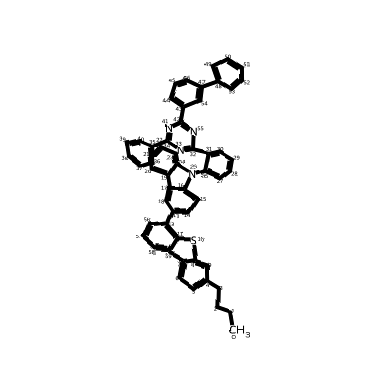 CCCCc1ccc2c(c1)sc1c(-c3ccc4c(c3)c3ccccc3n4-c3ccccc3-c3nc(-c4ccccc4)nc(-c4cccc(-c5ccccc5)c4)n3)cccc12